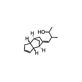 CC(O)C(C)C=C1C[C@H]2C[C@@H]1[C@@H]1C=CC[C@H]21